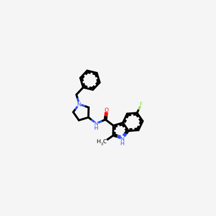 Cc1[nH]c2ccc(F)cc2c1C(=O)NC1CCN(Cc2ccccc2)C1